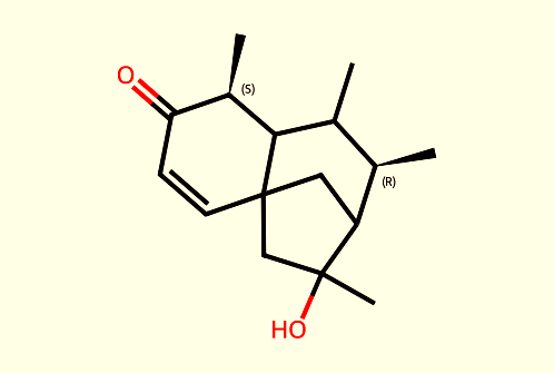 CC1C2[C@H](C)C(=O)C=CC23CC([C@@H]1C)C(C)(O)C3